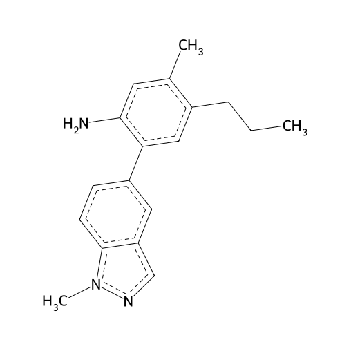 CCCc1cc(-c2ccc3c(cnn3C)c2)c(N)cc1C